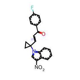 O=C(/C=C/C1(n2cc([N+](=O)[O-])c3ccccc32)CC1)c1ccc(F)cc1